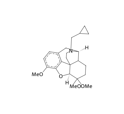 COc1ccc2c3c1O[C@@H]1C(OC)(OC)CCC4[C@H](C2)N(CC2CC2)CCC341